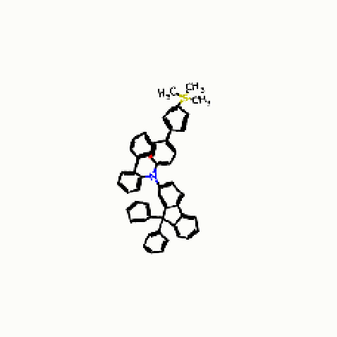 CS(C)(C)c1ccc(-c2ccc(N(c3ccc4c(c3)C(c3ccccc3)(c3ccccc3)c3ccccc3-4)c3ccccc3-c3ccccc3)cc2)cc1